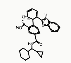 O=C(NC(C1CCCCC1)C1CC1)c1ccc(C2C(c3nc4ccccc4[nH]3)=CC=C[C@@H]2Cl)c(C(=O)O)c1